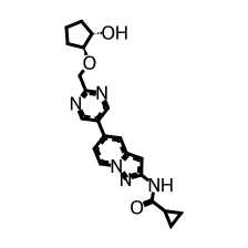 O=C(Nc1cc2cc(-c3cnc(CO[C@H]4CCC[C@@H]4O)nc3)ccn2n1)C1CC1